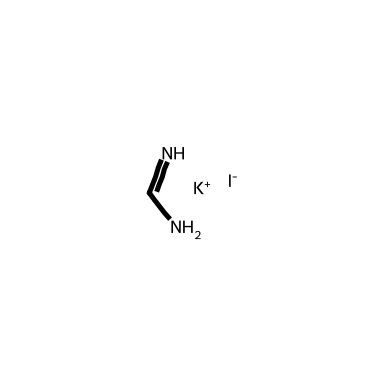 N=CN.[I-].[K+]